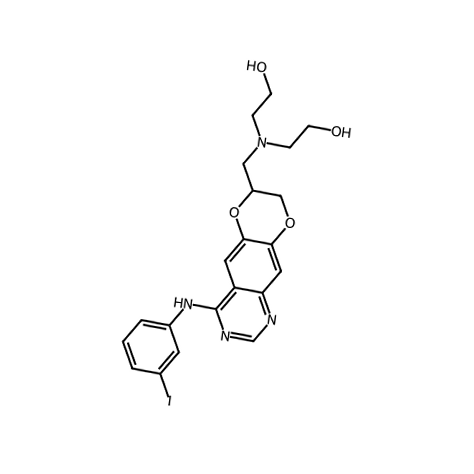 OCCN(CCO)CC1COc2cc3ncnc(Nc4cccc(I)c4)c3cc2O1